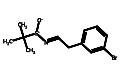 CC(C)(C)[S+]([O-])N=CCc1cccc(Br)c1